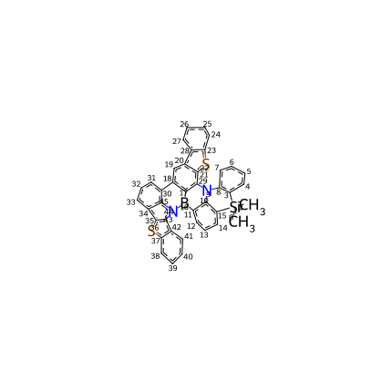 C[Si]1(C)c2ccccc2N2c3c(cccc31)B1c3c(cc4c(sc5ccccc54)c32)-c2cccc3c4sc5ccccc5c4n1c23